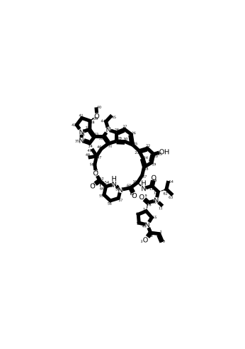 C=CC(=O)N1CC[C@H](C(=O)N(C)[C@H](C(=O)N[C@H]2Cc3cc(O)cc(c3)-c3ccc4c(c3)c(c(-c3cnn5c3[C@@H](OC)CC5)n4CC)CC(C)(C)COC(=O)[C@@H]3CCCN(N3)C2=O)C(C)C)C1